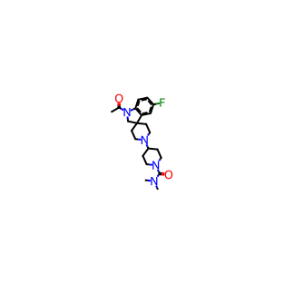 CC(=O)N1CC2(CCN(C3CCN(C(=O)N(C)C)CC3)CC2)c2cc(F)ccc21